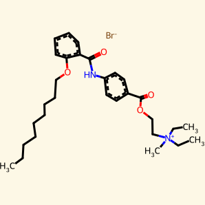 CCCCCCCCCOc1ccccc1C(=O)Nc1ccc(C(=O)OCC[N+](C)(CC)CC)cc1.[Br-]